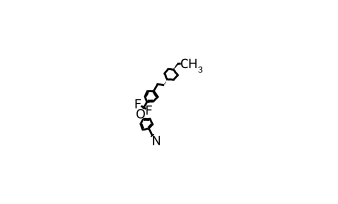 CC[C@H]1CC[C@H](CCc2ccc(C(F)(F)Oc3ccc(C#N)cc3)cc2)CC1